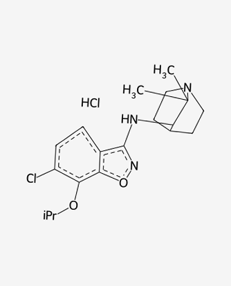 CC(C)Oc1c(Cl)ccc2c(NC3C4CCN(CC4)C3(C)C)noc12.Cl